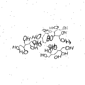 OC[C@@H](O)[C@@H](O)[C@H](O)[C@H](O)CO.OC[C@@H](O)[C@@H](O[C@@H]1O[C@H](CO)[C@H](O)[C@H](O)[C@H]1O)[C@H](O)[C@@H](O)CO.OC[C@@H](O)[C@H](O)[C@@H](O)CO